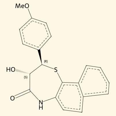 COc1ccc([C@H]2Sc3c(ccc4ccccc34)NC(=O)[C@@H]2O)cc1